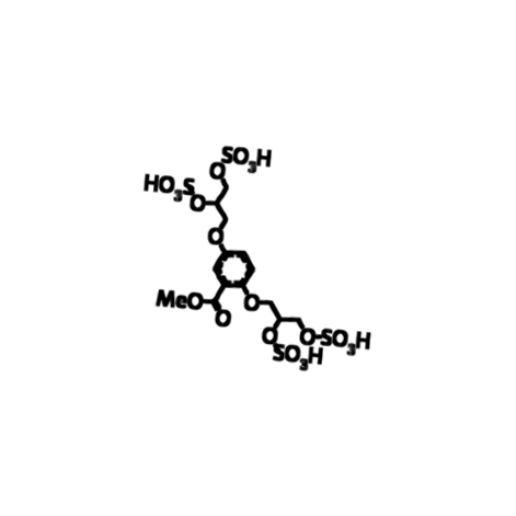 COC(=O)c1cc(OCC(COS(=O)(=O)O)OS(=O)(=O)O)ccc1OCC(COS(=O)(=O)O)OS(=O)(=O)O